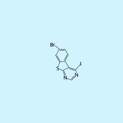 Brc1ccc2c(c1)sc1ncnc(I)c12